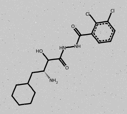 N[C@H](CC1CCCCC1)C(O)C(=O)NNC(=O)c1cccc(Cl)c1Cl